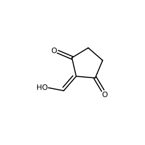 O=C1CCC(=O)C1=CO